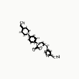 N#CC=C1CCN(c2ccc(N3C[C@@H](Cn4cc(C#N)nn4)OC3=O)cc2)CC1